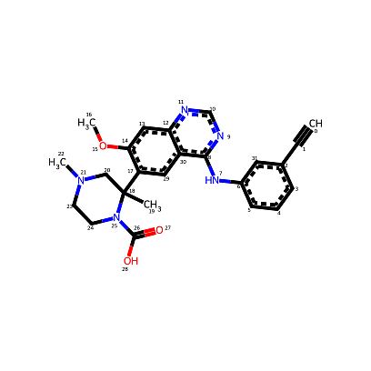 C#Cc1cccc(Nc2ncnc3cc(OC)c(C4(C)CN(C)CCN4C(=O)O)cc23)c1